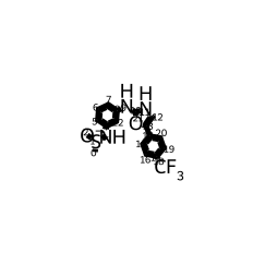 C[S+]([O-])Nc1cccc(NC2NC=C(c3ccc(C(F)(F)F)cc3)O2)c1